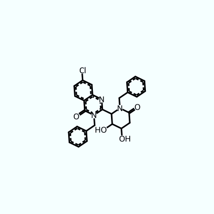 O=C1CC(O)C(O)C(c2nc3cc(Cl)ccc3c(=O)n2Cc2ccccc2)N1Cc1ccccc1